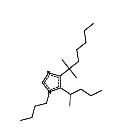 CCCCCC(C)(C)c1ncn(CCCC)c1C(C)CCC